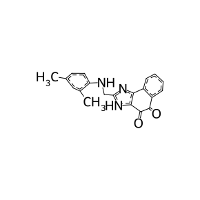 Cc1ccc(NCc2nc3c([nH]2)C(=O)C(=O)c2ccccc2-3)c(C)c1